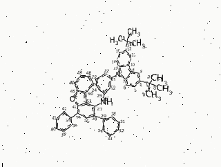 CC(C)(C)c1ccc2c(c1)c1cc(C(C)(C)C)ccc1n2-c1cccc(Nc2c(-c3ccccc3)cc(-c3ccccc3)c3oc4ccccc4c23)c1